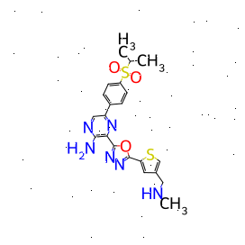 CNCc1csc(-c2nnc(-c3nc(-c4ccc(S(=O)(=O)C(C)C)cc4)cnc3N)o2)c1